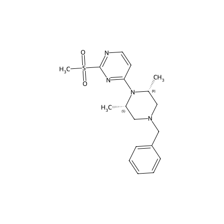 C[C@@H]1CN(Cc2ccccc2)C[C@H](C)N1c1ccnc(S(C)(=O)=O)n1